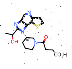 CC(O)c1nc2cnc3ccsc3c2n1[C@H]1CCCN(C(=O)CCC(=O)O)C1